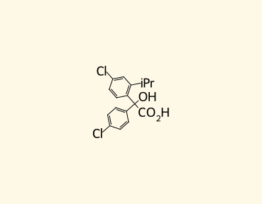 CC(C)c1cc(Cl)ccc1C(O)(C(=O)O)c1ccc(Cl)cc1